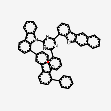 c1ccc(-c2nc(-c3cccc4c3oc3cc5ccccc5cc34)nc(-n3c4ccccc4c4cccc(-c5ccc6oc7c(-c8ccccc8)cccc7c6c5)c43)n2)cc1